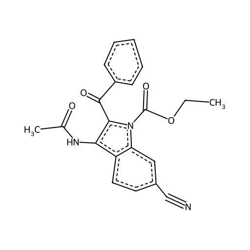 CCOC(=O)n1c(C(=O)c2ccccc2)c(NC(C)=O)c2ccc(C#N)cc21